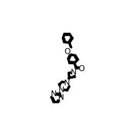 O=C(c1ccc(OCc2ccccc2)cc1)N1CC(N2CCN(c3ncccn3)CC2)C1